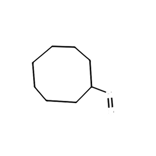 O=PC1CC[CH]CCCC1